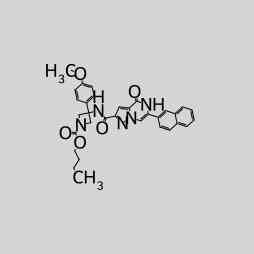 CCCCOC(=O)N1CC(NC(=O)c2cc3c(=O)[nH]c(-c4ccc5ccccc5c4)cn3n2)(c2ccc(OC)cc2)C1